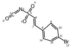 O=C=NS(=O)(=O)C=Cc1ccc(Br)cc1